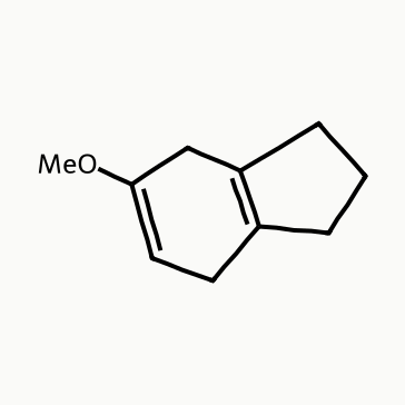 COC1=CCC2=C(CCC2)C1